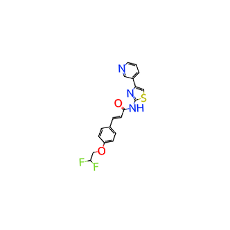 O=C(/C=C/c1ccc(OCC(F)F)cc1)Nc1nc(-c2cccnc2)cs1